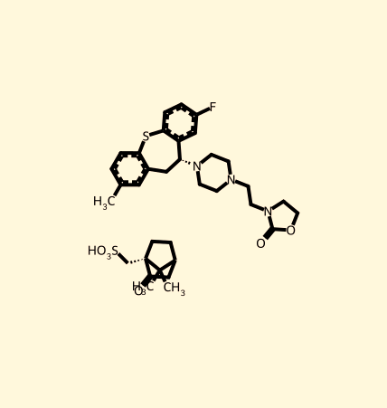 CC1(C)C2CC[C@]1(CS(=O)(=O)O)C(=O)C2.Cc1ccc2c(c1)C[C@@H](N1CCN(CCN3CCOC3=O)CC1)c1cc(F)ccc1S2